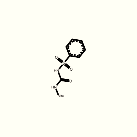 CCCCNC(=O)NS(=O)(=O)c1[c]cccc1